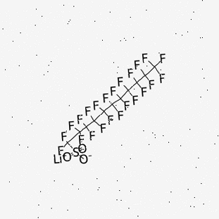 O=S(=O)([O-])C(F)(F)C(F)(F)C(F)(F)C(F)(F)C(F)(F)C(F)(F)C(F)(F)C(F)(F)C(F)(F)C(F)(F)C(F)(F)F.[Li+]